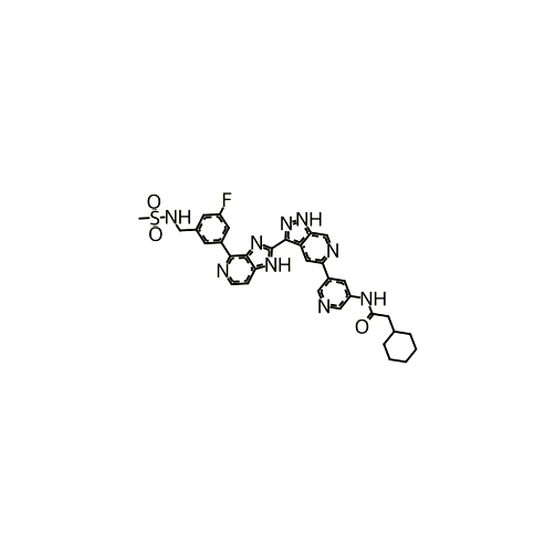 CS(=O)(=O)NCc1cc(F)cc(-c2nccc3[nH]c(-c4n[nH]c5cnc(-c6cncc(NC(=O)CC7CCCCC7)c6)cc45)nc23)c1